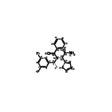 C[C@H](c1cc(F)cc(F)c1)N(C(=O)c1ccccc1)[C@H](C(N)=O)c1cncs1